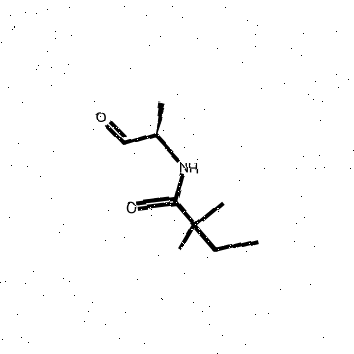 CCC(C)(C)C(=O)N[C@H](C)C=O